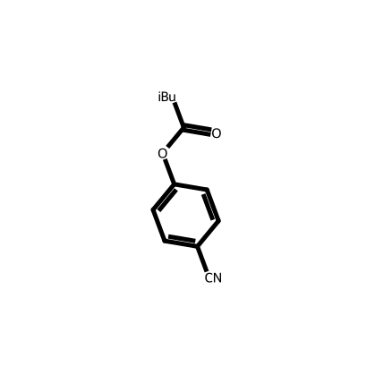 CCC(C)C(=O)Oc1ccc(C#N)cc1